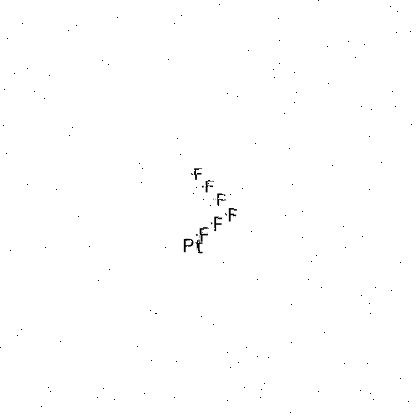 [F].[F].[F].[F].[F].[F].[Pt]